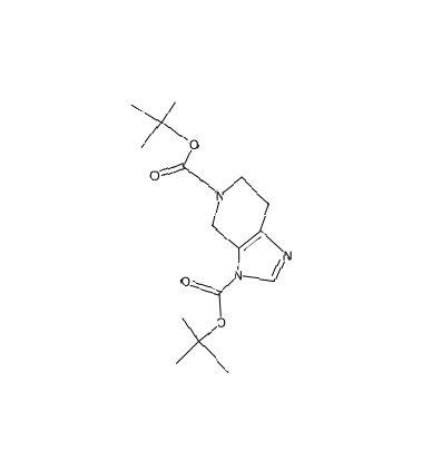 CC(C)(C)OC(=O)N1CCc2ncn(C(=O)OC(C)(C)C)c2C1